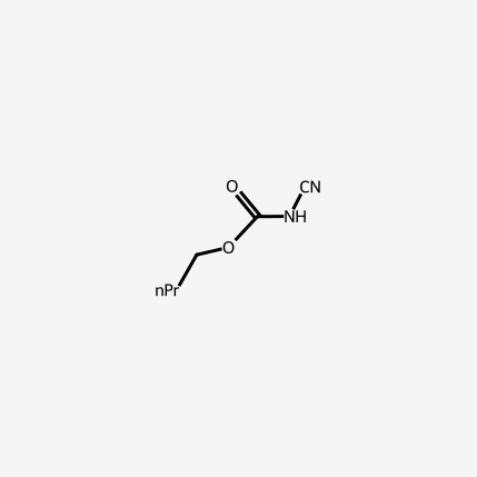 CCCCOC(=O)NC#N